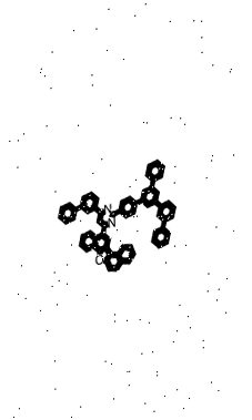 c1ccc(-c2cccc(-c3cc(-c4ccccc4)cc(-c4ccc(-c5nc(-c6cccc(-c7ccccc7)c6)cc(-c6cc7c(oc8ccc9ccccc9c87)c7ccccc67)n5)cc4)c3)c2)cc1